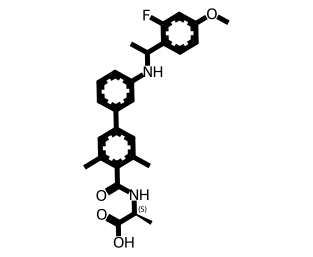 COc1ccc(C(C)Nc2cccc(-c3cc(C)c(C(=O)N[C@@H](C)C(=O)O)c(C)c3)c2)c(F)c1